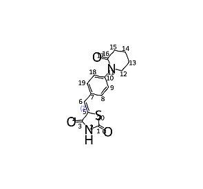 O=C1NC(=O)/C(=C/c2ccc(N3CCCCC3=O)cc2)S1